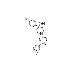 Cn1cc(-c2nccc(N3CCC(O)(c4ccc(F)cc4)CC3)n2)cn1